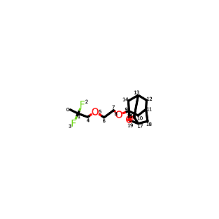 CC(F)(F)COCCOC12CC3CC(C1)C(=O)C(C3)C2